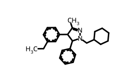 CCc1cccc(C2C(C)=NN(CC3CCCCC3)C2c2ccccc2)c1